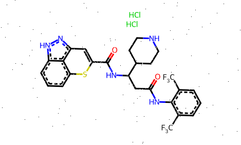 Cl.Cl.O=C(CC(NC(=O)C1=Cc2n[nH]c3cccc(c23)S1)C1CCNCC1)Nc1c(C(F)(F)F)cccc1C(F)(F)F